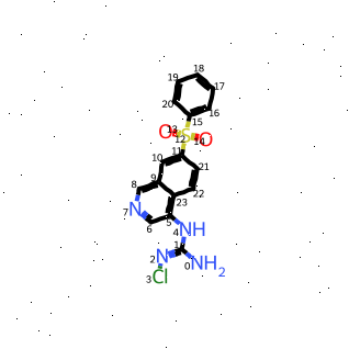 NC(=NCl)Nc1cncc2cc(S(=O)(=O)c3ccccc3)ccc12